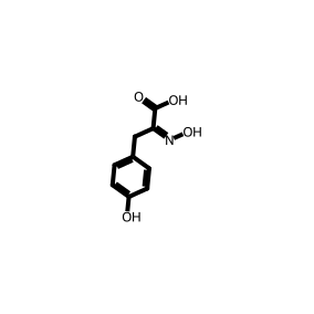 O=C(O)C(Cc1ccc(O)cc1)=NO